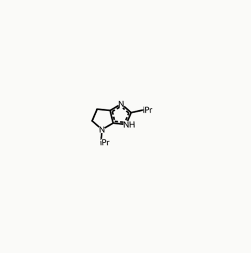 CC(C)c1nc2c([nH]1)N(C(C)C)CC2